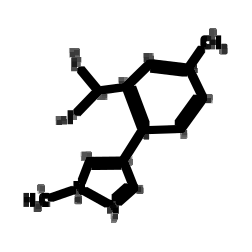 Cc1ccc(-c2cnn(C)c2)c(C(F)F)c1